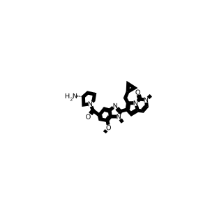 COc1cc(C(=O)N2CCC[C@@H](N)C2)cc2nc(-c3cc4ccn(C)c(=O)n4c3CC3CC3)n(C)c12